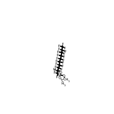 CO[Si](OC)(OC)C(F)(F)C(F)(F)C(F)(F)C(F)(F)C(F)(F)C(F)(F)C(F)(F)C(F)(F)C(F)(F)C(F)(F)F